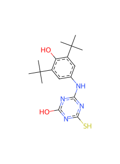 CC(C)(C)c1cc(Nc2nc(O)nc(S)n2)cc(C(C)(C)C)c1O